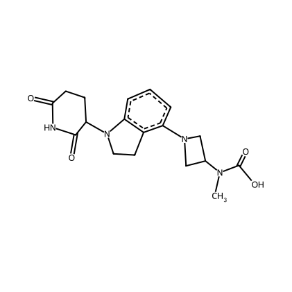 CN(C(=O)O)C1CN(c2cccc3c2CCN3C2CCC(=O)NC2=O)C1